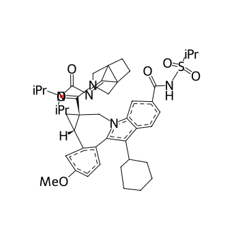 COc1ccc2c(c1)[C@@H]1C[C@]1(C(=O)N1CC34CCC3(C1)C4=NC(=O)N(C(C)C)C(C)C)Cn1c-2c(C2CCCCC2)c2ccc(C(=O)NS(=O)(=O)C(C)C)cc21